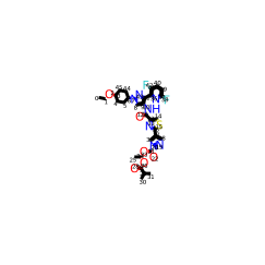 CCOC1CCC(n2cc(NC(=O)c3csc(-c4cnn(C(=O)OC(C)OC(=O)C(C)C)c4)n3)c(-c3nc(F)ccc3F)n2)CC1